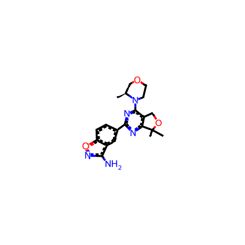 C[C@H]1COCCN1c1nc(-c2ccc3onc(N)c3c2)nc2c1COC2(C)C